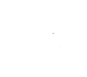 Bc1cc2c(nc1C)N(c1c(C)ccnc1C(C)C)C(=C)N=C2C